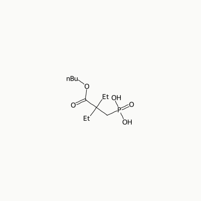 CCCCOC(=O)C(CC)(CC)CP(=O)(O)O